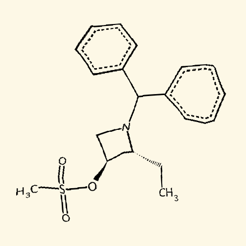 CC[C@@H]1[C@@H](OS(C)(=O)=O)CN1C(c1ccccc1)c1ccccc1